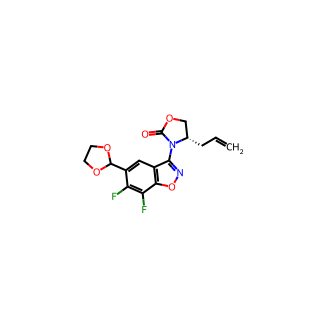 C=CC[C@H]1COC(=O)N1c1noc2c(F)c(F)c(C3OCCO3)cc12